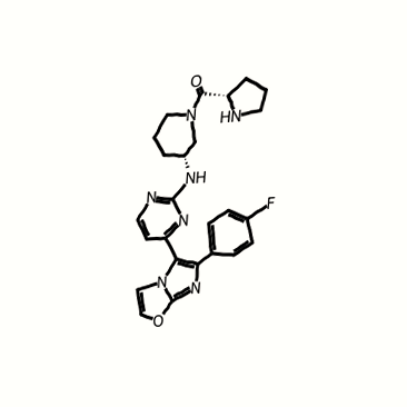 O=C([C@@H]1CCCN1)N1CCC[C@@H](Nc2nccc(-c3c(-c4ccc(F)cc4)nc4occn34)n2)C1